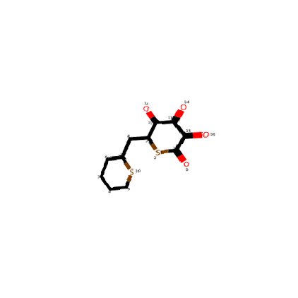 O=C1S[C](CC2CCCCS2)C(=O)C(=O)C1=O